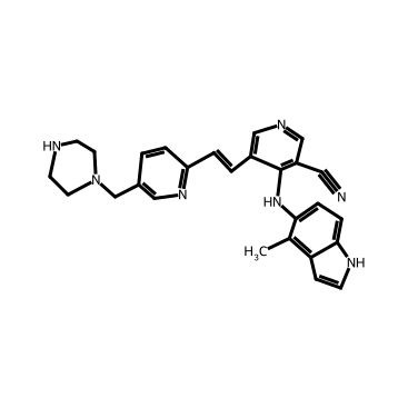 Cc1c(Nc2c(C#N)cncc2C=Cc2ccc(CN3CCNCC3)cn2)ccc2[nH]ccc12